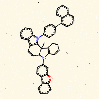 CC12C3=C(C=CCC3)N(c3ccc4c(c3)oc3ccccc34)C1C=Cc1c2n(-c2ccc(-c3cccc4ccccc34)cc2)c2ccccc12